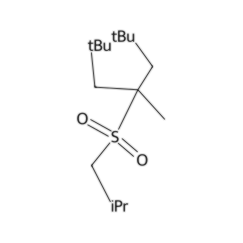 CC(C)CS(=O)(=O)C(C)(CC(C)(C)C)CC(C)(C)C